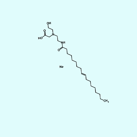 CCCCCCCCC=CCCCCCCCC(=O)NCCN(CCO)CC(=O)O.[Na]